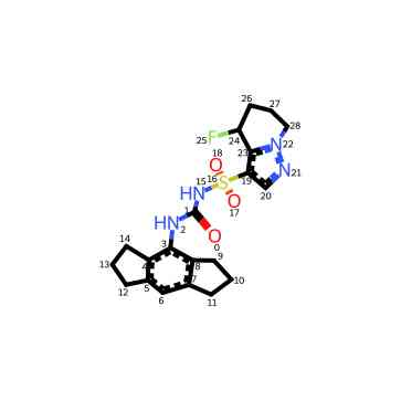 O=C(Nc1c2c(cc3c1CCC3)CCC2)NS(=O)(=O)c1cnn2c1C(F)CCC2